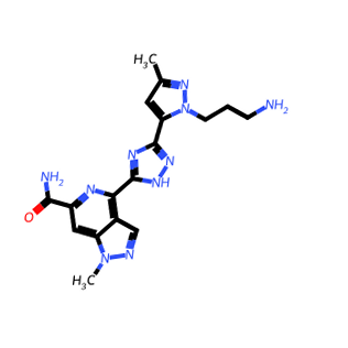 Cc1cc(-c2n[nH]c(-c3nc(C(N)=O)cc4c3cnn4C)n2)n(CCCN)n1